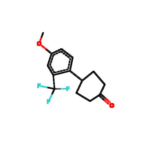 COc1ccc(C2CCC(=O)CC2)c(C(F)(F)F)c1